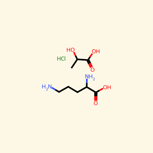 CC(O)C(=O)O.Cl.NCCCC(N)C(=O)O